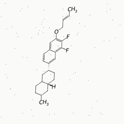 C/C=C/COc1cc2ccc([C@@H]3CC[C@@H]4CC(C)CCC4C3)cc2c(F)c1F